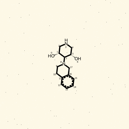 O[C@@H]1CNC[C@H](O)C1N1CCc2ccccc2C1